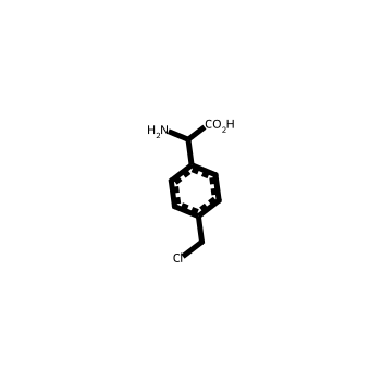 NC(C(=O)O)c1ccc(CCl)cc1